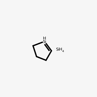 C1=[SiH]CCC1.[SiH4]